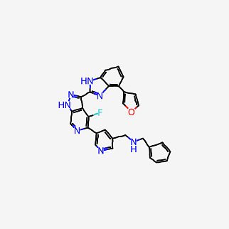 Fc1c(-c2cncc(CNCc3ccccc3)c2)ncc2[nH]nc(-c3nc4c(-c5ccoc5)cccc4[nH]3)c12